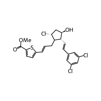 COC(=O)c1ccc(C=CCC2[C@H](Cl)C[C@@H](O)[C@@H]2C=Cc2cc(Cl)cc(Cl)c2)s1